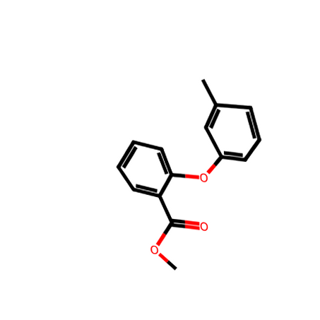 COC(=O)c1ccccc1Oc1cccc(C)c1